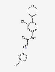 O=C(/C=C/c1ccc(Br)s1)Nc1ccc(N2CCOCC2)c(Cl)c1